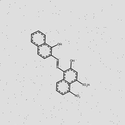 O=[N+]([O-])c1cccc2c(N=Nc3ccc4ccccc4c3O)c(O)cc(S(=O)(=O)O)c12